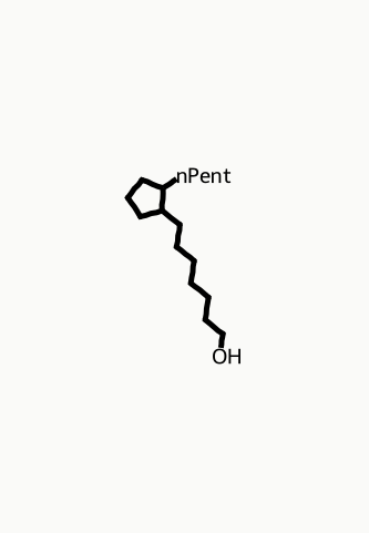 CCCCCC1CCCC1CCCCCCCO